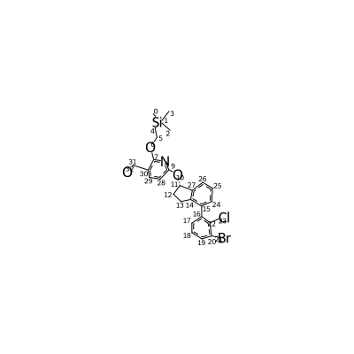 C[Si](C)(C)CCOc1nc(O[C@H]2CCc3c(-c4cccc(Br)c4Cl)cccc32)ccc1C=O